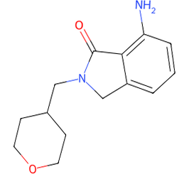 Nc1cccc2c1C(=O)N(CC1CCOCC1)C2